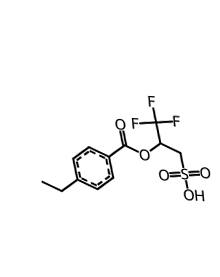 CCc1ccc(C(=O)OC(CS(=O)(=O)O)C(F)(F)F)cc1